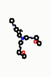 CC1(C)c2cc(/C=C/c3ccccc3)ccc2-c2ccc(N(c3ccc(/C=C/c4cccc5c4oc4ccccc45)cc3)c3ccc(/C=C/c4cccc5c4oc4ccccc45)cc3)cc21